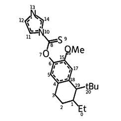 CCC1CCc2cc(OC(=S)n3ccnc3)c(OC)cc2C1C(C)(C)C